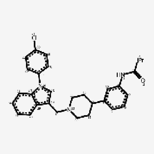 CC(C)C(=O)Nc1cccc(C2CCN(Cc3cn(-c4ccc(Cl)cc4)c4ccccc34)CC2)c1